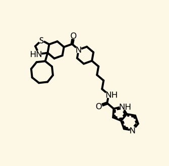 O=C(NCCCCC1CCN(C(=O)C2CCC3(C4CCCCCCC4)NCSC3C2)CC1)c1cc2cnccc2[nH]1